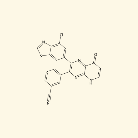 N#Cc1cccc(-c2nc3[nH]ccc(=O)c3nc2-c2cc(Cl)c3ncsc3c2)c1